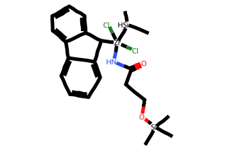 C[SiH](C)[Zr]([Cl])([Cl])([NH]C(=O)CCO[Si](C)(C)C)[CH]1c2ccccc2-c2ccccc21